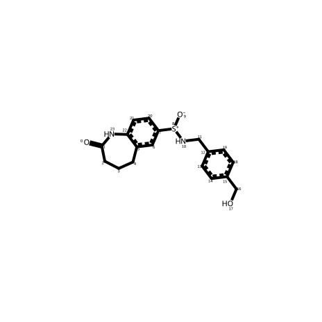 O=C1CCCc2cc([S+]([O-])NCc3ccc(CO)cc3)ccc2N1